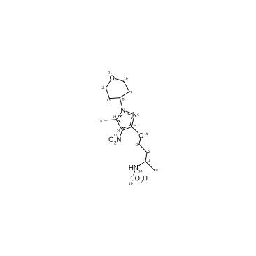 CC(CCOc1nn(C2CCOCC2)c(I)c1[N+](=O)[O-])NC(=O)O